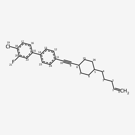 C=CCCCC1CCC(C#Cc2ccc(-c3ccc(Cl)c(F)c3)cc2)CC1